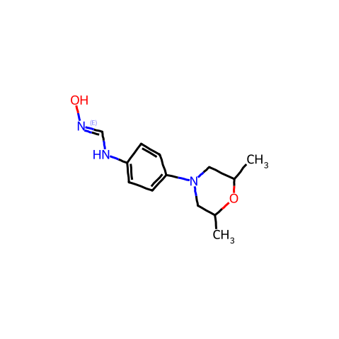 CC1CN(c2ccc(N/C=N/O)cc2)CC(C)O1